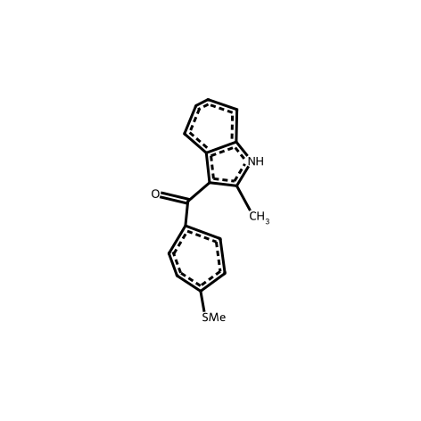 CSc1ccc(C(=O)c2c(C)[nH]c3ccccc23)cc1